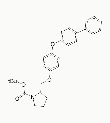 CC(C)(C)OC(=O)N1CCCC1COc1ccc(Oc2ccc(-c3ccccc3)cc2)cc1